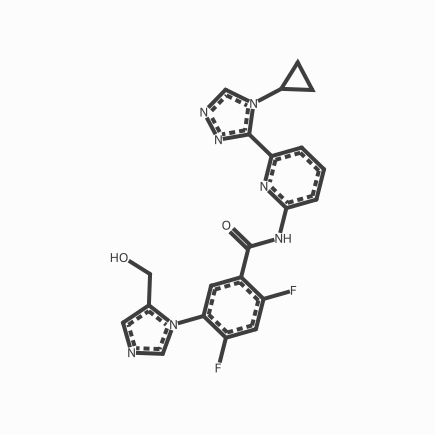 O=C(Nc1cccc(-c2nncn2C2CC2)n1)c1cc(-n2cncc2CO)c(F)cc1F